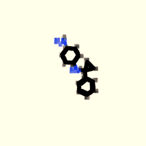 N[C@H]1CC[C@H](NC2(c3ccccc3)CC2)CC1